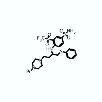 CC(C)N1CCN(CCC(CSc2ccccc2)Nc2ccc(S(N)(=O)=O)cc2S(=O)(=O)C(F)(F)F)CC1